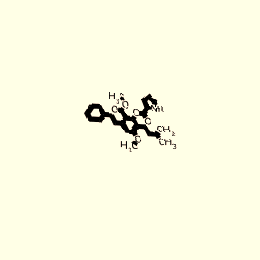 C=C(C)CCc1c(OC)cc(/C=C/c2ccccc2)c(C(=O)OC)c1OC(=O)c1ccc[nH]1